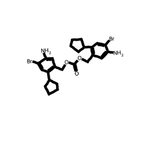 Nc1cc(COC(=O)OCc2cc(N)c(Br)cc2C2CCCC2)c(C2CCCC2)cc1Br